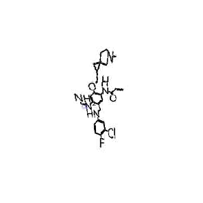 C=CC(=O)Nc1cc(CNc2ccc(F)c(Cl)c2)c(/N=C\N)cc1OCC1CC12CCN(C)C2